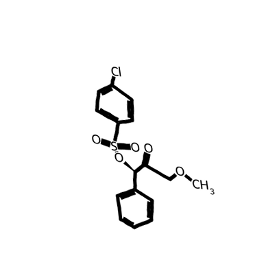 COCC(=O)[C@H](OS(=O)(=O)c1ccc(Cl)cc1)c1ccccc1